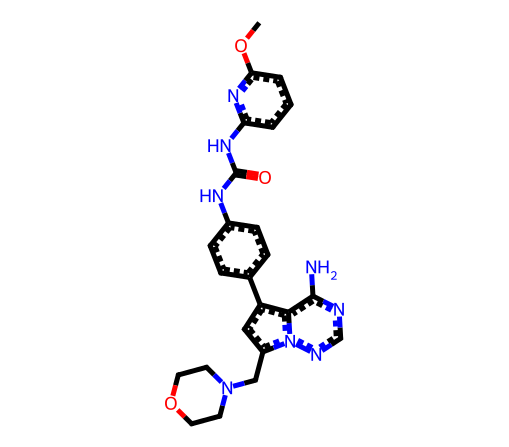 COc1cccc(NC(=O)Nc2ccc(-c3cc(CN4CCOCC4)n4ncnc(N)c34)cc2)n1